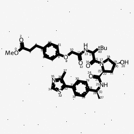 COC(=O)CCc1ccc(OCC(=O)NC(C(=O)N2C[C@H](O)C[C@H]2C(=O)N[C@@H](C)c2ccc(-c3scnc3C)cc2)C(C)(C)C)cc1